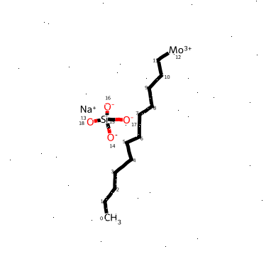 CCCCCCCCCCC[CH2][Mo+3].[Na+].[O-][Si]([O-])([O-])[O-]